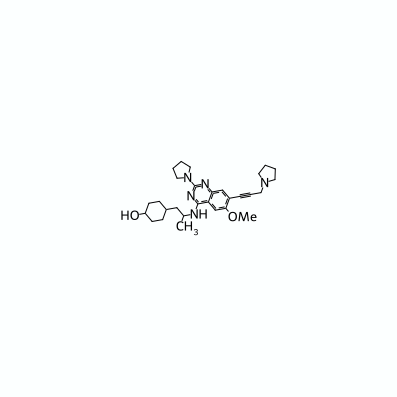 COc1cc2c(NC(C)CC3CCC(O)CC3)nc(N3CCCC3)nc2cc1C#CCN1CCCC1